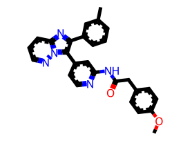 COc1ccc(CC(=O)Nc2cc(-c3c(-c4cccc(C)c4)nc4cccnn34)ccn2)cc1